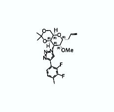 C=CC[C@H]1O[C@@H]2COC(C)(C)O[C@@H]2[C@H](n2cc(-c3ccc(C)c(F)c3F)nn2)[C@H]1OC